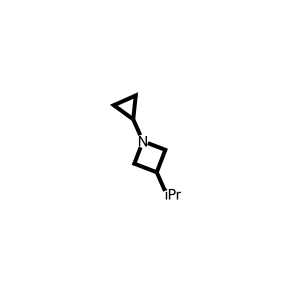 CC(C)C1CN(C2CC2)C1